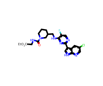 CCOC(=O)CNC(=O)N1CCCC(CNc2nc(-c3c[nH]c4ncc(Cl)cc34)ncc2F)C1